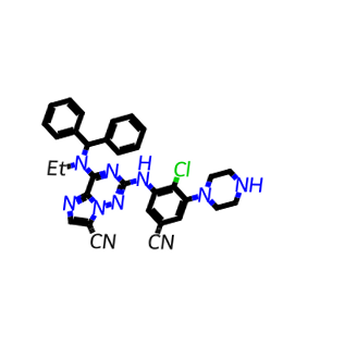 CCN(c1nc(Nc2cc(C#N)cc(N3CCNCC3)c2Cl)nn2c(C#N)cnc12)C(c1ccccc1)c1ccccc1